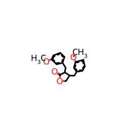 COc1cccc(CC2COC(=O)C2Cc2cccc(OC)c2)c1